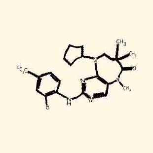 CN1C(=O)C(C)(C)CN(C2CCCC2)c2nc(Nc3ccc(C(=O)O)cc3Cl)ncc21